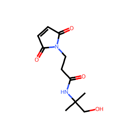 CC(C)(CO)NC(=O)CCN1C(=O)C=CC1=O